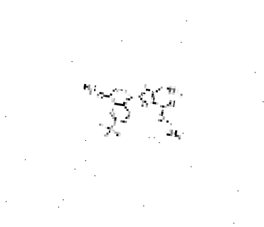 BCc1nc(-c2ccc(OC)c3nc(C(F)(F)F)ccc23)oc1C(=O)OCC